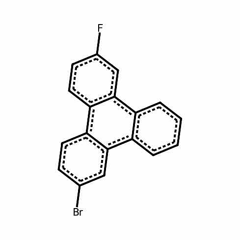 Fc1ccc2c3ccc(Br)cc3c3ccccc3c2c1